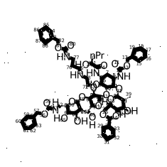 CCC[C@H](O)C(=O)N[C@@H]1C[C@H](NC(=O)OCc2ccccc2)[C@@H](O[C@H]2O[C@@H]3COC(c4ccccc4)O[C@H]3[C@H](O)[C@H]2C)[C@H](O[C@@H]2O[C@H](CO)[C@@H](O[C@H]3O[C@@H](CNC(=O)OCc4ccccc4)[C@@H](O)[C@H](O)[C@H]3C)[C@H]2OCCNCCCNC(=O)OCc2ccccc2)[C@H]1O